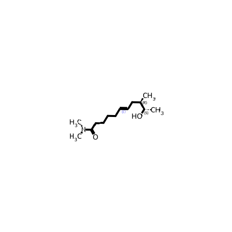 C[C@H](O)[C@H](C)C/C=C/CCCCC(=O)N(C)C